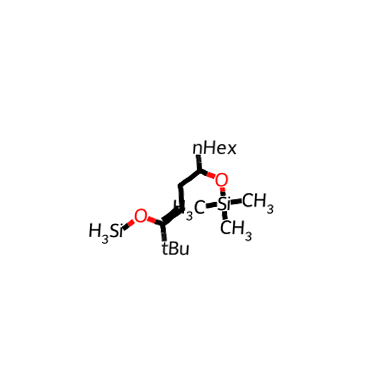 CCCCCCC(CC=C(O[SiH3])C(C)(C)C)O[Si](C)(C)C